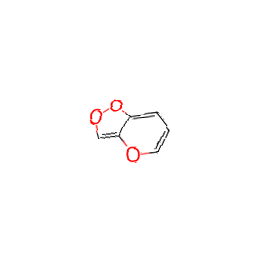 C1=COC2=COOC2=C1